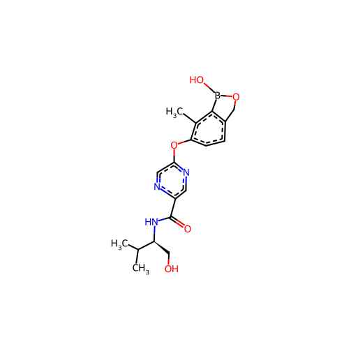 Cc1c(Oc2cnc(C(=O)N[C@@H](CO)C(C)C)cn2)ccc2c1B(O)OC2